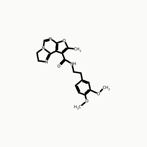 COc1ccc(CCNC(=O)c2c(C)oc3c2C2=NCCN2C=N3)cc1OC